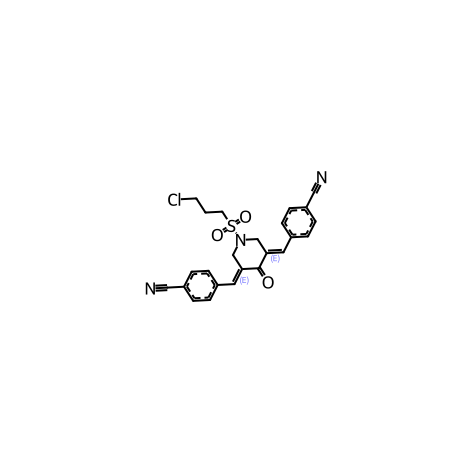 N#Cc1ccc(/C=C2\CN(S(=O)(=O)CCCCl)C/C(=C\c3ccc(C#N)cc3)C2=O)cc1